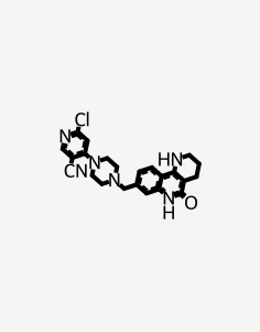 N#Cc1cnc(Cl)cc1N1CCN(Cc2ccc3c4c(c(=O)[nH]c3c2)CCCN4)CC1